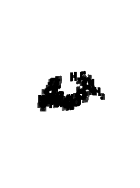 Cc1cnc(N)c(-c2ccc(Oc3ncc(NC(=O)Nc4cc(C(F)(F)F)ccc4-n4cccn4)cn3)cc2)c1